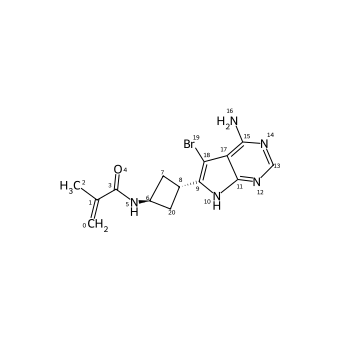 C=C(C)C(=O)N[C@H]1C[C@H](c2[nH]c3ncnc(N)c3c2Br)C1